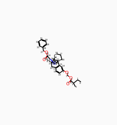 CCC(C)C(=O)OCOc1ccc2c(c1)[C@@]13CCCC[C@H]1[C@@H](C2)N(C(=O)OCc1ccccc1)CC3